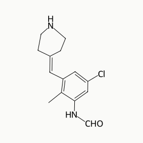 Cc1c(C=C2CCNCC2)cc(Cl)cc1NC=O